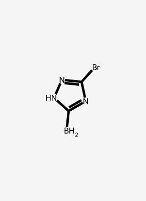 Bc1nc(Br)n[nH]1